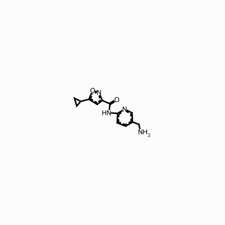 NCc1ccc(NC(=O)c2cc(C3CC3)on2)nc1